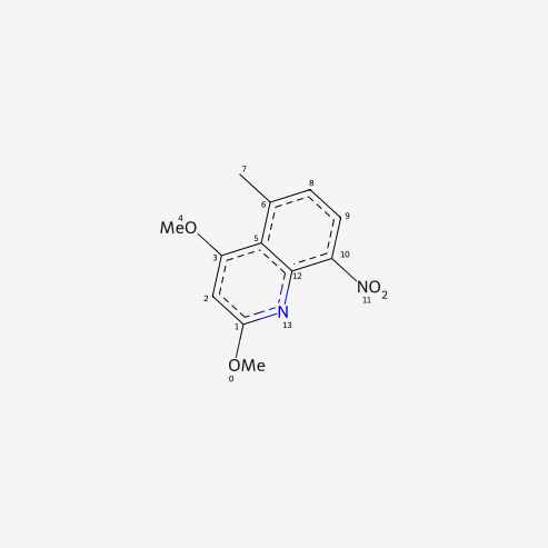 COc1cc(OC)c2c(C)ccc([N+](=O)[O-])c2n1